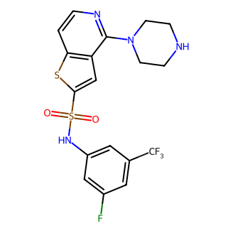 O=S(=O)(Nc1cc(F)cc(C(F)(F)F)c1)c1cc2c(N3CCNCC3)nccc2s1